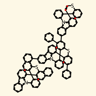 c1ccc(-c2ccc3c(c2)C2(c4cc(-c5ccccc5)c(-c5ccc6c(c5)c5cccc7c5n6-c5ccccc5C75c6ccccc6Sc6ccccc65)cc4S3)c3ccccc3-n3c4ccc(-c5cccc6ccc7c(c56)Sc5c(ccc6ccccc56)C75c6ccccc6-n6c7ccccc7c7cccc5c76)cc4c4cccc2c43)cc1